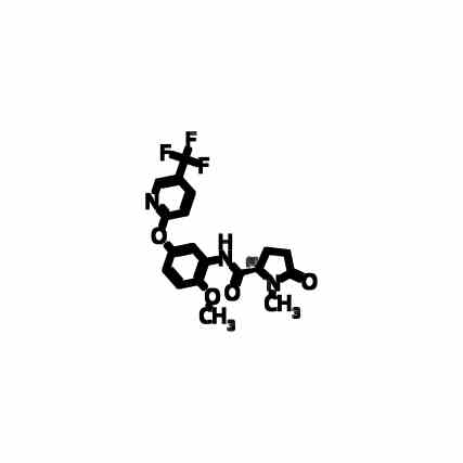 COc1ccc(Oc2ccc(C(F)(F)F)cn2)cc1NC(=O)[C@H]1CCC(=O)N1C